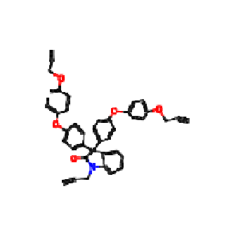 C#CCOC(=C)/C=C\C(=C/C)Oc1ccc(C2(c3ccc(Oc4ccc(OCC#C)cc4)cc3)C(=O)N(CC#C)c3ccccc32)cc1